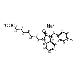 Cc1ccc(Cn2c(=O)n(CCCCCCCC(=O)[O-])c3ccccc32)cc1.[Na+]